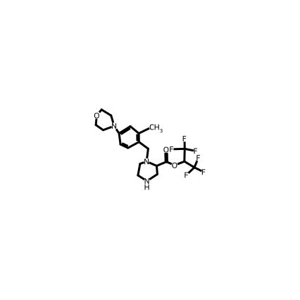 Cc1cc(N2CCOCC2)ccc1CN1CCNCC1C(=O)OC(C(F)(F)F)C(F)(F)F